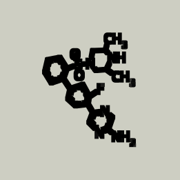 CC1CN(S(=O)(=O)c2ccccc2-c2ccc(-c3cnc(N)cn3)c(F)c2)CC(C)N1